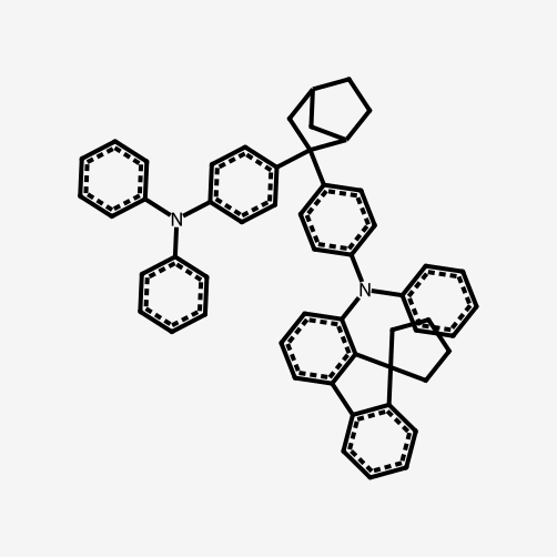 c1ccc(N(c2ccccc2)c2ccc(C3(c4ccc(N(c5ccccc5)c5cccc6c5C5(CCCC5)c5ccccc5-6)cc4)CC4CCC3C4)cc2)cc1